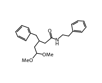 COC(CC(CC(=O)NCCc1ccccc1)Cc1ccccc1)OC